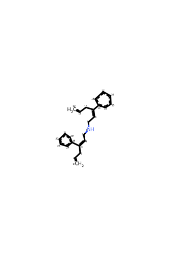 C=CCC(=CCNCC=C(CC=C)c1ccccc1)c1ccccc1